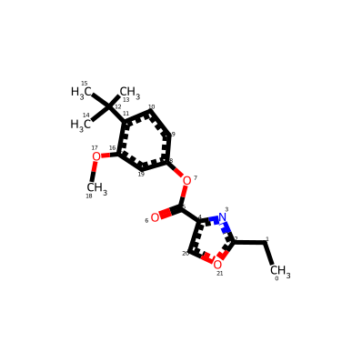 CCc1nc(C(=O)Oc2ccc(C(C)(C)C)c(OC)c2)co1